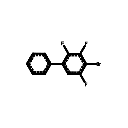 Fc1cc(-c2ccccc2)c(F)c(F)c1Br